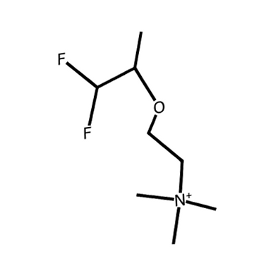 CC(OCC[N+](C)(C)C)C(F)F